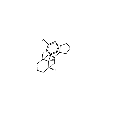 OC1(c2ccnc(Cl)c2)[C@@H]2CCC[C@H]1CN(C1CCCC1)C2